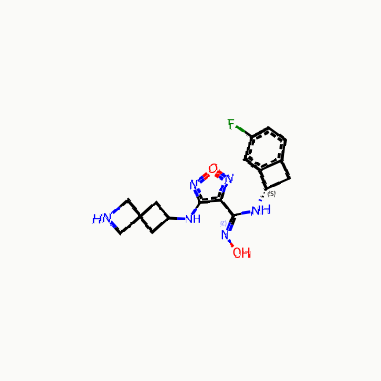 O/N=C(\N[C@H]1Cc2ccc(F)cc21)c1nonc1NC1CC2(CNC2)C1